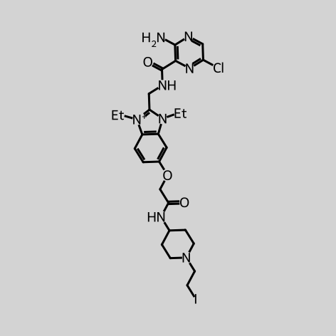 CCn1c(CNC(=O)c2nc(Cl)cnc2N)[n+](CC)c2ccc(OCC(=O)NC3CCN(CCI)CC3)cc21